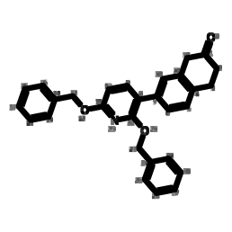 O=C1CCc2ccc(-c3ccc(OCc4ccccc4)nc3OCc3ccccc3)cc2C1